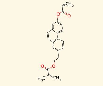 C=CC(=O)Oc1ccc2c(ccc3cc(CCOC(=O)C(=C)C)ccc32)c1